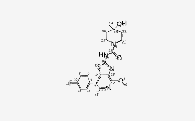 COc1nc(F)c(-c2ccc(F)cc2)c2sc(NC(=O)N3CCC(C)(O)CC3)nc12